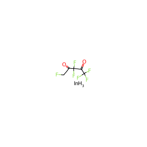 O=C(CF)C(F)(F)C(=O)C(F)(F)F.[InH3]